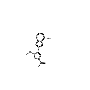 C=C(C)n1cc(-n2cc3c(Br)cccc3n2)c(OC)n1